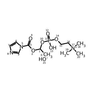 CC(OC(=O)n1ccnc1)OP(=O)(O)OCC[N+](C)(C)C.[OH-]